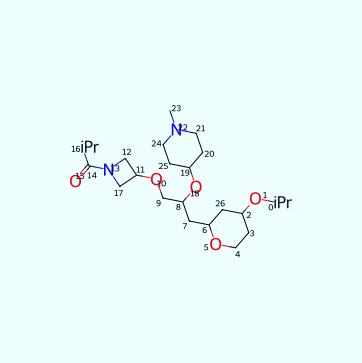 CC(C)OC1CCOC(CC(COC2CN(C(=O)C(C)C)C2)OC2CCN(C)CC2)C1